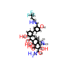 COc1ccc(-c2ccc(O)c3c2C[C@H]2C[C@H]4[C@H](N(C)C)C(O)=C(C(N)=O)C(=O)[C@@]4(O)C(O)=C2C3=O)cc1CNCCC(F)(F)F